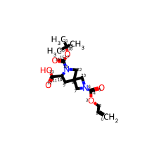 C=CCOC(=O)N1CC2(CC(C(=O)O)N(C(=O)OC(C)(C)C)C2)C1